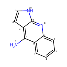 Nc1c2ccccc2nc2[nH]ccc12